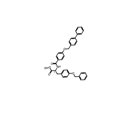 COC(=O)[C@H](Cc1ccc(OCc2ccccc2)cc1)NC(=O)c1ccc(OCc2ccc(-c3ccccc3)cc2)cc1